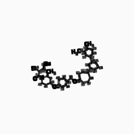 CCC(C)[C@@H](C)C(CC)C(=O)N1CCC(Oc2ccc(COC3=CC=C(c4cccc(-c5ccc(C)c(C)c5)c4)CC=C3)cc2)CC1